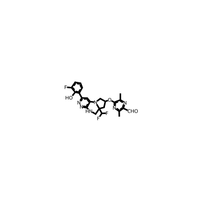 Cc1nc(OC2CN3c4cc(-c5cccc(F)c5O)nnc4NCC3(C(F)F)C2)c(C)nc1C=O